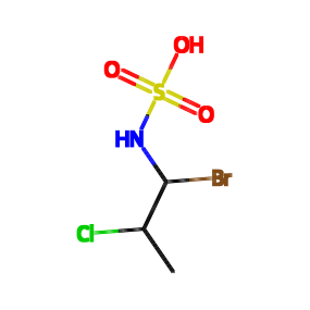 CC(Cl)C(Br)NS(=O)(=O)O